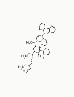 CCC(CN)CCCC(CN)C(CCC(C)C1C=CC(C2C=C3CCC=CC3C3CCCCC23)C2C=CCCC12)C(C)NC1=CC=CCC1